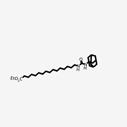 CCOC(=O)CCCCCCCCCCCCCCCNC(=O)NC12CC3CC(CC(C3)C1)C2